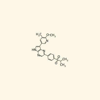 COc1ncc(-c2c[nH]c3ncc(-c4ccc(S(=O)(=O)C(C)C)cc4)nc23)cc1C